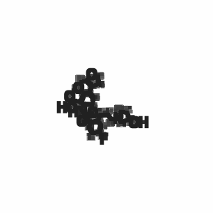 O=C(O)c1c(NS(=O)(=O)c2ccc(F)cc2/C=C\CN2CCC(O)C2)ccc2c1OCc1occc1-2